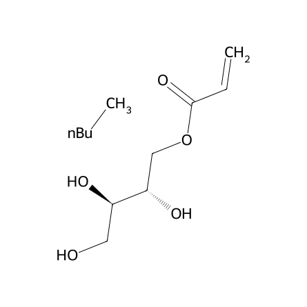 C=CC(=O)OC[C@H](O)[C@H](O)CO.CCCCC